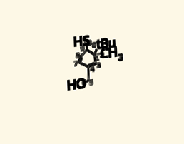 CC(C)(C)C1(C)C=C(CO)C=CC1S